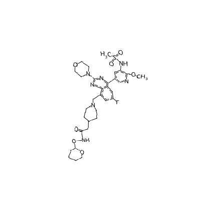 COc1ncc(-c2nc(N3CCOCC3)nc3c(CN4CCC(CC(=O)NOC5CCCCO5)CC4)cc(F)cc23)cc1NS(C)(=O)=O